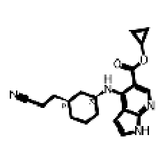 N#CCC[C@@H]1CCC[C@H](Nc2c(C(=O)OC3CC3)cnc3[nH]ccc23)C1